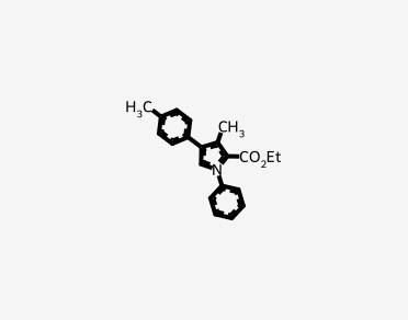 CCOC(=O)c1c(C)c(-c2ccc(C)cc2)cn1-c1ccccc1